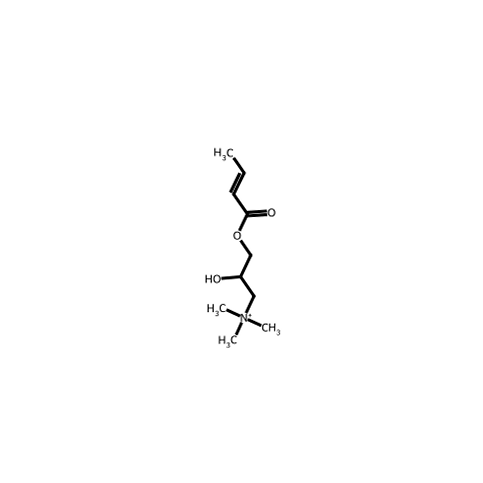 CC=CC(=O)OCC(O)C[N+](C)(C)C